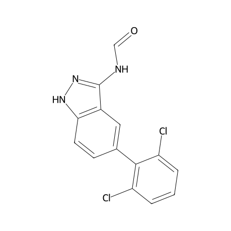 O=CNc1n[nH]c2ccc(-c3c(Cl)cccc3Cl)cc12